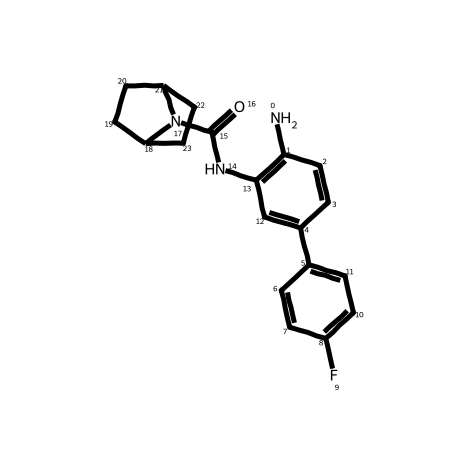 Nc1ccc(-c2ccc(F)cc2)cc1NC(=O)N1C2CCC1CC2